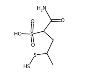 CC(CC(C(N)=O)S(=O)(=O)O)SS